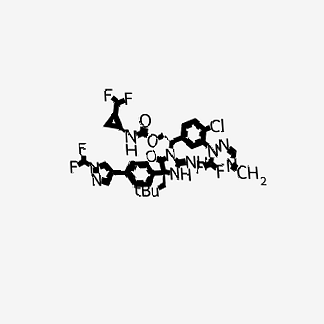 C=N/C=N\N(c1cc([C@@H](COC(=O)N[C@H]2CC2C(F)F)N2C(=N)N[C@](CC(C)(C)C)(c3ccc(-c4cnn(C(F)F)c4)cc3)C2=O)ccc1Cl)C(F)F